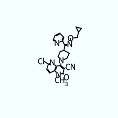 Cn1c(=O)c(C#N)c(N2CCC(/C(=N/OCC3CC3)c3ccccn3)CC2)c2nc(Cl)ccc21